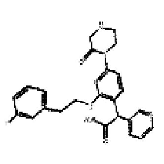 NC(=O)C(c1cccnc1)c1ccc(N2CCNCC2=O)nc1NCCc1cccc(F)c1